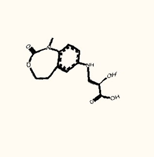 CN1C(=O)OCCc2cc(NC[C@@H](O)C(=O)O)ccc21